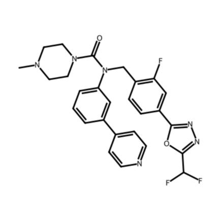 CN1CCN(C(=O)N(Cc2ccc(-c3nnc(C(F)F)o3)cc2F)c2cccc(-c3ccncc3)c2)CC1